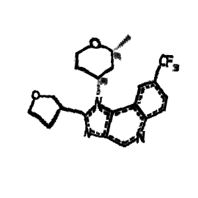 C[C@@H]1C[C@H](n2c(C3CCOC3)nc3cnc4ccc(C(F)(F)F)cc4c32)CCO1